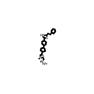 CCCN(C)CC1SC(c2ccc(-c3ccc(C4=CNC(CCc5ccccc5)S4)cc3)cc2)=CN1C